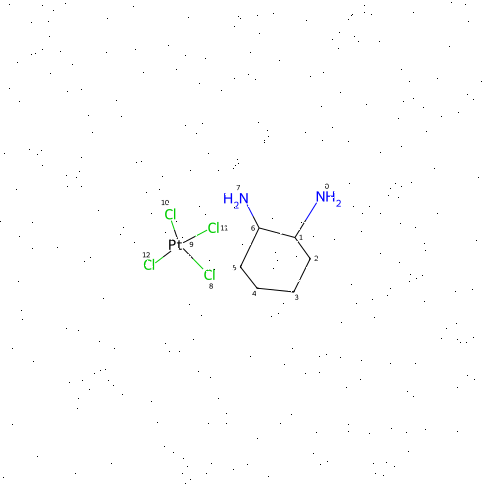 NC1CCCCC1N.[Cl][Pt]([Cl])([Cl])[Cl]